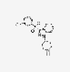 O=S(=O)(c1cccc(Cl)c1)c1nn(C2CCNCC2)c2ccccc12